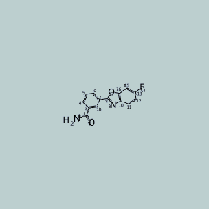 NC(=O)c1cccc(-c2nc3ccc(F)cc3o2)c1